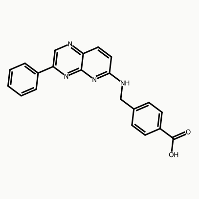 O=C(O)c1ccc(CNc2ccc3ncc(-c4ccccc4)nc3n2)cc1